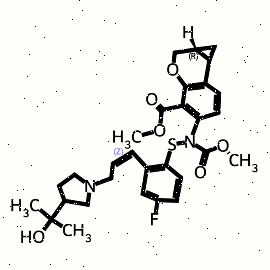 COC(=O)c1c(N(Sc2ccc(F)cc2/C=C\CN2CCC(C(C)(C)O)C2)C(=O)OC)ccc2c1OC[C@@H]1CC21